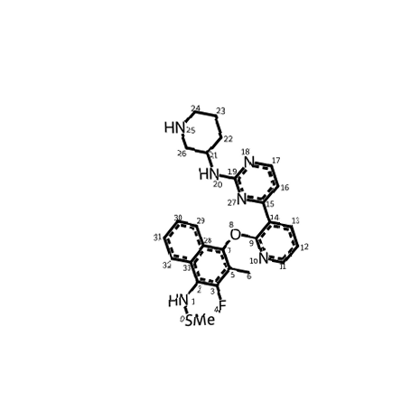 CSNc1c(F)c(C)c(Oc2ncccc2-c2ccnc(NC3CCCNC3)n2)c2ccccc12